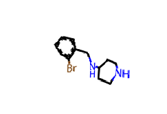 Brc1ccccc1CNC1CCNCC1